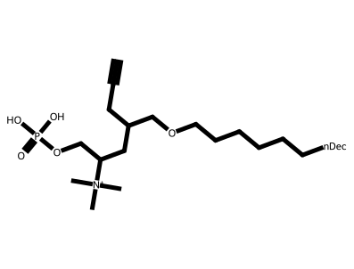 C#CCC(COCCCCCCCCCCCCCCCC)CC(COP(=O)(O)O)[N+](C)(C)C